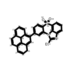 CCc1nc2cccc3c2n1-c1cc(C2=C4C=CC=C5C=CC6=C(C(=C2)CC=C6)C54)ccc1S3(=O)=O